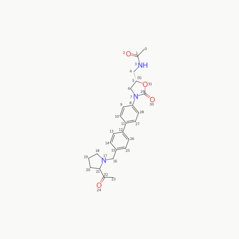 CC(=O)NC[C@H]1CN(c2ccc(-c3ccc(CN4CCCC4C(C)=O)cc3)cc2)C(=O)O1